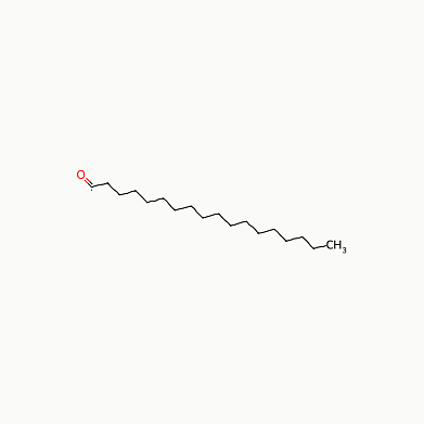 CCCCCCCCCCCCCCCCC[C]=O